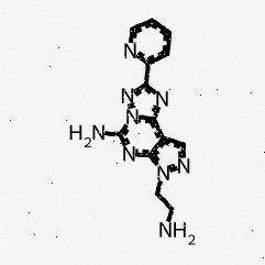 NCCn1ncc2c1nc(N)n1nc(-c3ccccn3)nc21